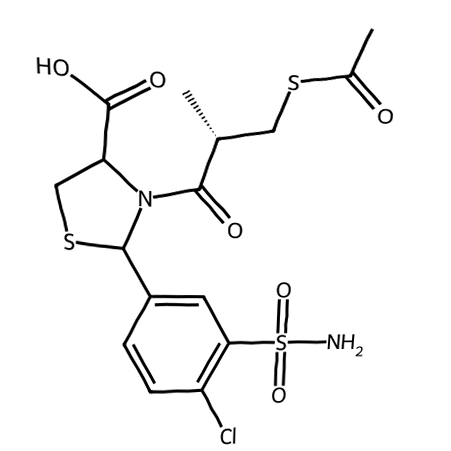 CC(=O)SC[C@@H](C)C(=O)N1C(C(=O)O)CSC1c1ccc(Cl)c(S(N)(=O)=O)c1